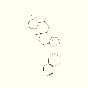 COC1C[C@H]2[C@@H]3CC[C@H](C(C)Oc4cnccc4C)[C@@]3(C)CC[C@@H]2[C@@]2(C)CC[C@@H]3C[C@@]132